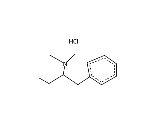 CCC(Cc1ccccc1)N(C)C.Cl